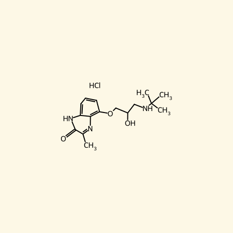 Cc1nc2c(OCC(O)CNC(C)(C)C)cccc2[nH]c1=O.Cl